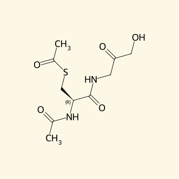 CC(=O)N[C@@H](CSC(C)=O)C(=O)NCC(=O)CO